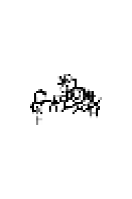 CC1=CC23C(=O)[C@@H](C=C4COC(C)(C)O[C@H]4[C@]2(O)[C@H]1OC(=O)c1cccc2cc[nH]c12)[C@H]1[C@@H](CC3C)C1(C)C